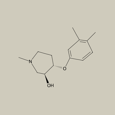 Cc1ccc(O[C@H]2CCN(C)C[C@@H]2O)cc1C